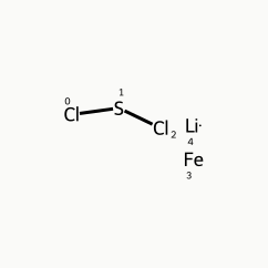 ClSCl.[Fe].[Li]